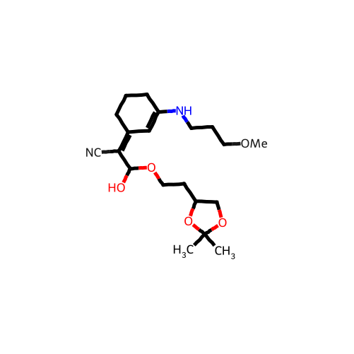 COCCCNC1=C/C(=C(/C#N)C(O)OCCC2COC(C)(C)O2)CCC1